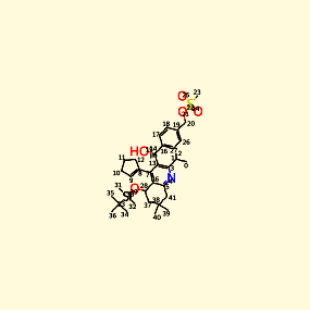 CC(C)c1nc2c(c(C3=CCCC3)c1[C@H](O)c1ccc(COS(C)(=O)=O)cc1)C(O[Si](C)(C)C(C)(C)C)CC(C)(C)C2